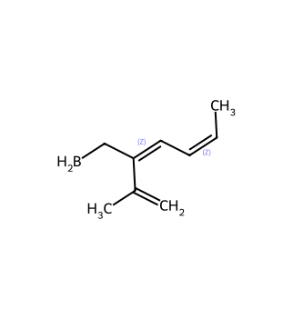 BC/C(=C/C=C\C)C(=C)C